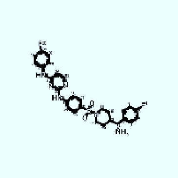 N[C@@H](c1ccc(F)cc1)C1CCN(S(=O)(=O)c2ccc(Nc3nccc(Nc4ccc(F)cc4)n3)cc2)CC1